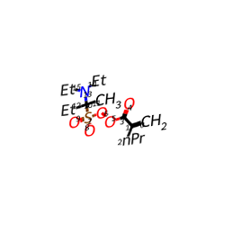 C=C(CCC)C(=O)OOS(=O)(=O)C(C)(CC)N(CC)CC